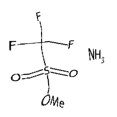 COS(=O)(=O)C(F)(F)F.N